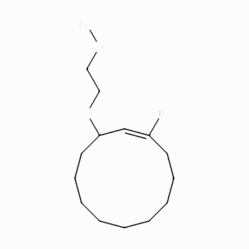 CCOCCOC1/C=C(/Br)CCCCCCCCC1